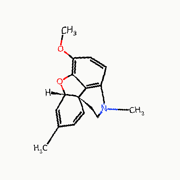 COc1ccc2c3c1O[C@H]1C=C(C)C=C[C@@]31CCN(C)C2